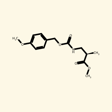 COC(=O)[C@H](C)CNC(=O)OCc1ccc(OC)cc1